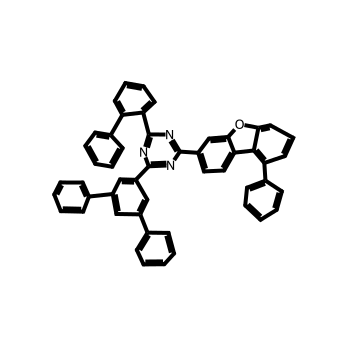 c1ccc(-c2cc(-c3ccccc3)cc(-c3nc(-c4ccc5c(c4)oc4cccc(-c6ccccc6)c45)nc(-c4ccccc4-c4ccccc4)n3)c2)cc1